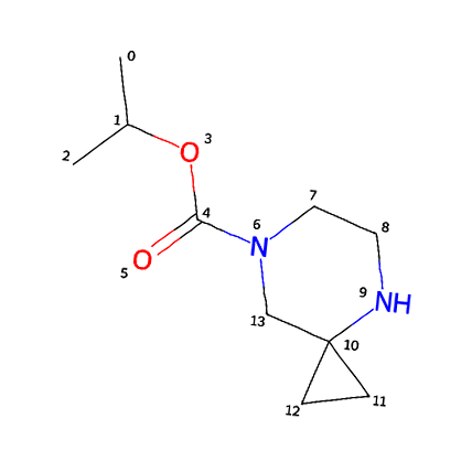 CC(C)OC(=O)N1CCNC2(CC2)C1